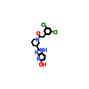 O=C(Cc1cc(Cl)cc(Cl)c1)N1CCCC(c2nc3nc(O)ccc3[nH]2)C1